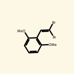 COc1cccc(OC)c1C=C(Br)Br